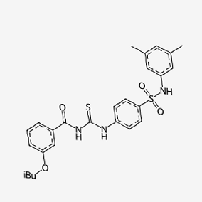 CCC(C)Oc1cccc(C(=O)NC(=S)Nc2ccc(S(=O)(=O)Nc3cc(C)cc(C)c3)cc2)c1